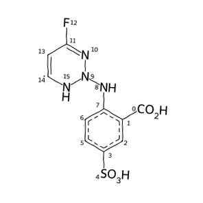 O=C(O)c1cc(S(=O)(=O)O)ccc1NN1N=C(F)C=[C]N1